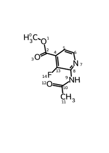 COC(=O)c1ccnc(NC(C)=O)c1F